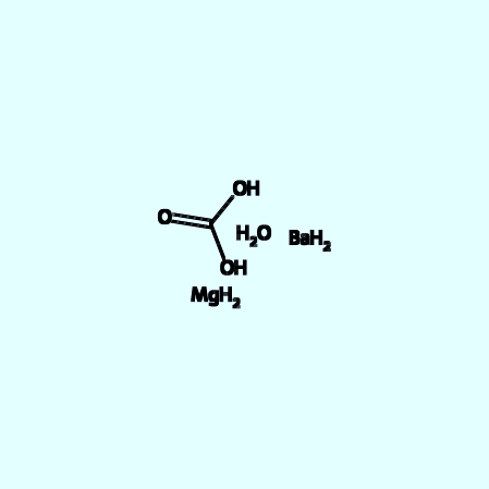 O.O=C(O)O.[BaH2].[MgH2]